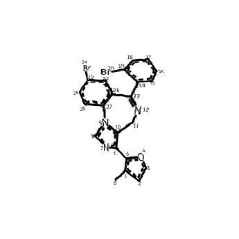 Cc1ccoc1-c1ncn2c1CN=C(c1ccccc1Br)c1cc(Br)ccc1-2